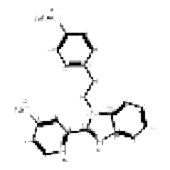 COc1ccc(CCn2c(-c3cc(C#N)ccn3)nc3ccccc32)cc1